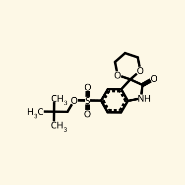 CC(C)(C)COS(=O)(=O)c1ccc2c(c1)C1(OCCCO1)C(=O)N2